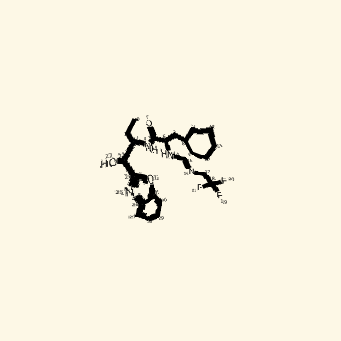 CCC(NC(=O)C(CC1CCCCC1)N/C=N/CC(F)(F)F)C(O)c1nc2ccccc2o1